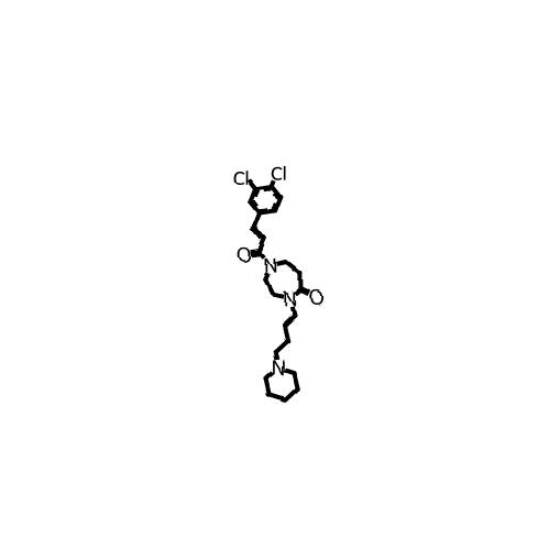 O=C(C=Cc1ccc(Cl)c(Cl)c1)N1CCC(=O)N(CCCCN2CCCCC2)CC1